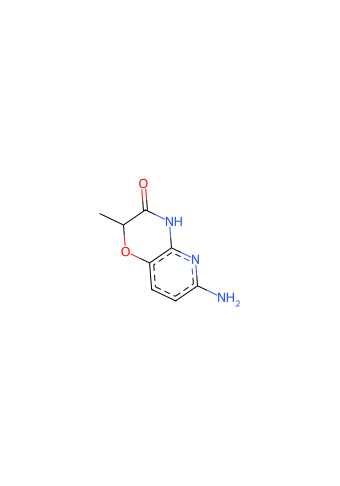 CC1Oc2ccc(N)nc2NC1=O